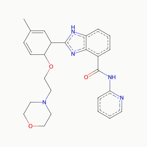 CC1=CC(c2nc3c(C(=O)Nc4ccccn4)cccc3[nH]2)C(OCCN2CCOCC2)C=C1